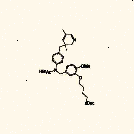 Br.CCCCCCCCCCCCCCOc1cc(CN(C(C)=O)c2ccc(CC3(C)C=C(C)C=NC3)cc2)ccc1OC